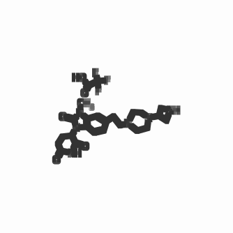 Cn1c(=O)n(C2CCC(=O)NC2=O)c2ccc(CCN3CCN(C4CNC4)CC3)cc21.O=C(O)C(F)(F)F